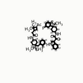 CC(=O)C1CC(CC(=O)NC2CCC(Cc3ccccc3F)(N(C)C)CC2)C1(C)C.CN(C)C1(c2cccc(F)c2)CCC(NC(=O)C(=O)c2c[nH]c3ccccc23)CC1